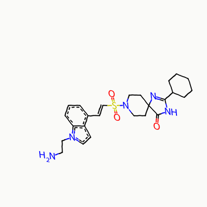 NCCn1ccc2c(C=CS(=O)(=O)N3CCC4(CC3)N=C(C3CCCCC3)NC4=O)cccc21